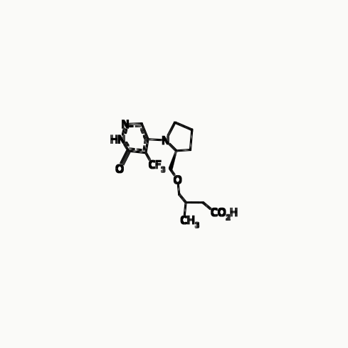 CC(COC[C@@H]1CCCN1c1cn[nH]c(=O)c1C(F)(F)F)CC(=O)O